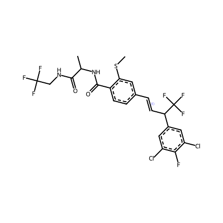 CSc1cc(/C=C/C(c2cc(Cl)c(F)c(Cl)c2)C(F)(F)F)ccc1C(=O)NC(C)C(=O)NCC(F)(F)F